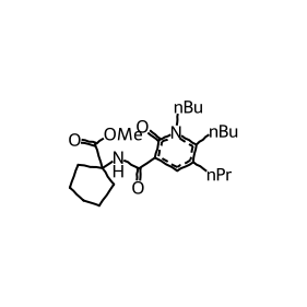 CCCCc1c(CCC)cc(C(=O)NC2(C(=O)OC)CCCCC2)c(=O)n1CCCC